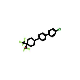 FC(F)(F)C1(C(F)(F)F)CCC(c2ccc(-c3ccc(Cl)cc3)cc2)CC1